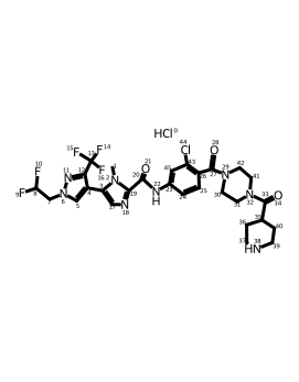 Cl.Cn1c(-c2cn(CC(F)F)nc2C(F)(F)F)cnc1C(=O)Nc1ccc(C(=O)N2CCN(C(=O)C3CCNCC3)CC2)c(Cl)c1